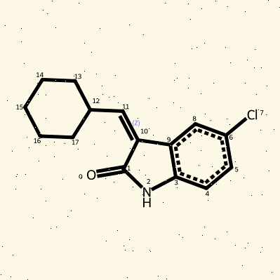 O=C1Nc2ccc(Cl)cc2/C1=C/C1CCCCC1